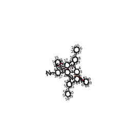 N#Cc1ccc(-n2c3ccc(-c4ccccc4)cc3c3cc(-c4ccccc4)ccc32)c(-c2ccc(-c3ccc(C#N)cc3C(F)(F)F)cc2-n2c3ccc(-c4ccccc4)cc3c3cc(-c4ccccc4)ccc32)c1